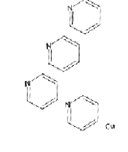 [Cu].c1ccncc1.c1ccncc1.c1ccncc1.c1ccncc1